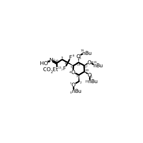 CCCCOC[C@H]1O[C@@H](C(F)(F)C/C(=N/O)C(=O)OCC)[C@H](OCCCC)[C@@H](OCCCC)[C@H]1OCCCC